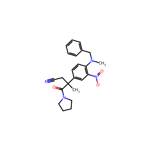 CN(Cc1ccccc1)c1ccc(C(C)(CC#N)C(=O)N2CCCC2)cc1[N+](=O)[O-]